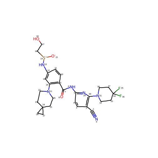 N#Cc1ccc(NC(=O)c2ccc(N[S+]([O-])CCO)cc2N2CCC3(CC2)CC3)nc1N1CCC(F)(F)CC1